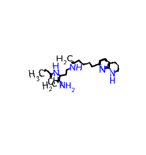 C=C(CCCCc1ccc2c(n1)NCCC2)NCCC(NC(=C)CC)C(=C)N